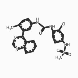 Cc1ccc(NC(=O)Nc2ccc(NS(C)(=O)=O)cc2Cl)cc1-c1ncnc2ccccc12